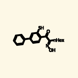 CCCCCCC(=NO)C(=O)c1ccc(-c2ccccc2)cc1S